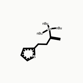 C=[C](CCc1cccs1)[Sn]([CH2]CCC)([CH2]CCC)[CH2]CCC